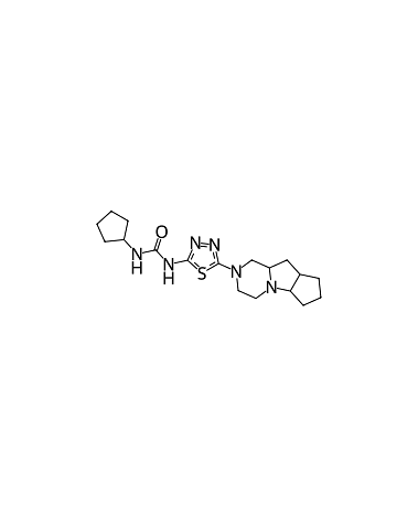 O=C(Nc1nnc(N2CCN3C(CC4CCCC43)C2)s1)NC1CCCC1